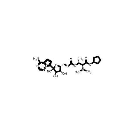 C[C@@H](OC(=O)OC[C@H]1O[C@@](C#N)(c2ccc3c(N)ncnn23)[C@H](O)[C@@H]1O)[C@@H](C(=O)OC1CCCC1)N(C)C